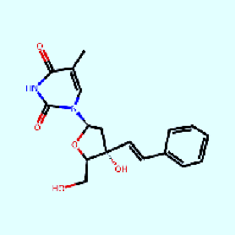 Cc1cn([C@H]2C[C@@](O)(C=Cc3ccccc3)[C@@H](CO)O2)c(=O)[nH]c1=O